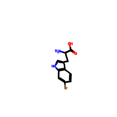 NC(Cc1c[nH]c2cc(Br)ccc12)C(=O)O